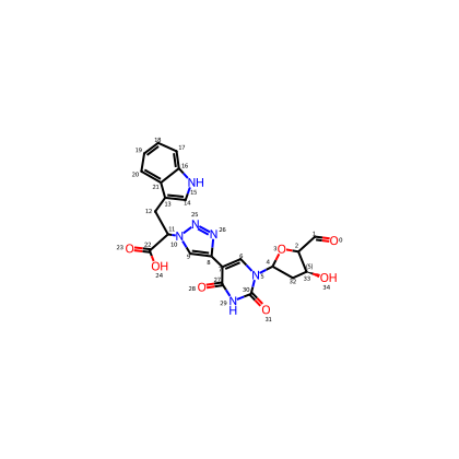 O=CC1OC(n2cc(-c3cn(C(Cc4c[nH]c5ccccc45)C(=O)O)nn3)c(=O)[nH]c2=O)C[C@@H]1O